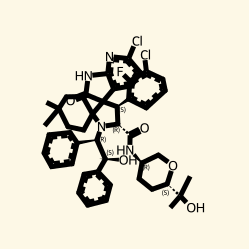 CC1(C)CCC2(CC1)N([C@H](c1ccccc1)[C@@H](O)c1ccccc1)[C@@H](C(=O)N[C@@H]1CC[C@@H](C(C)(C)O)OC1)[C@H](c1cccc(Cl)c1F)C21C(=O)Nc2nc(Cl)ccc21